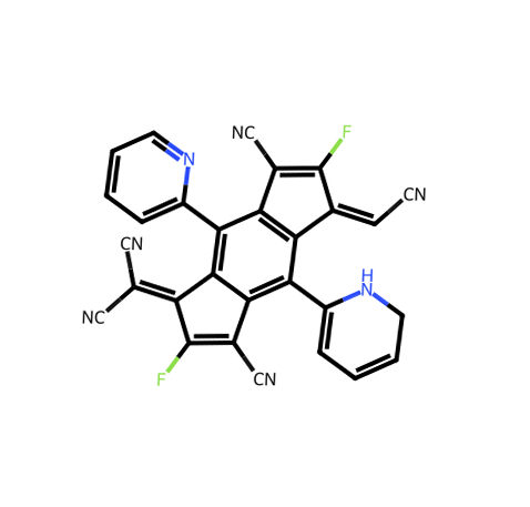 N#C/C=C1\C(F)=C(C#N)c2c1c(C1=CC=CCN1)c1c(c2-c2ccccn2)C(=C(C#N)C#N)C(F)=C1C#N